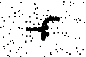 COCCOCOc1ccc2c(=O)c(-c3cc4c(cc3OCOCCOC)OC3(COC3)CC4=O)coc2c1